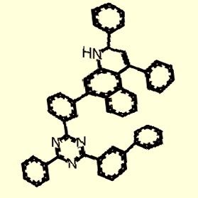 C1=C(c2ccccc2)c2c(cc(-c3cccc(-c4nc(-c5ccccc5)nc(-c5cccc(-c6ccccc6)c5)n4)c3)c3ccccc23)NC1c1ccccc1